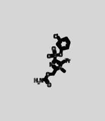 CC(C)c1c(S(=O)(=O)Oc2cccc(Cl)c2)nc(COC(N)=O)n1C